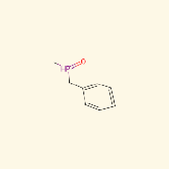 C[PH](=O)Cc1ccccc1